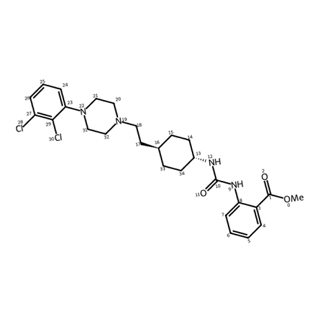 COC(=O)c1ccccc1NC(=O)N[C@H]1CC[C@H](CCN2CCN(c3cccc(Cl)c3Cl)CC2)CC1